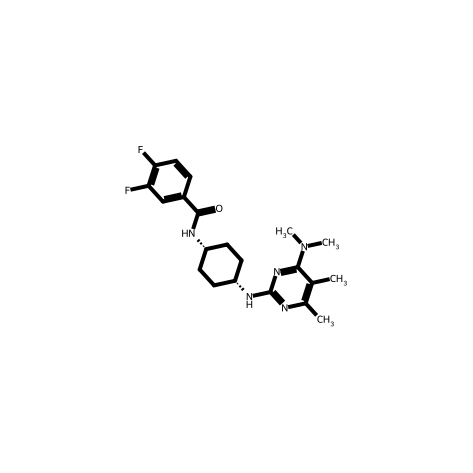 Cc1nc(N[C@H]2CC[C@@H](NC(=O)c3ccc(F)c(F)c3)CC2)nc(N(C)C)c1C